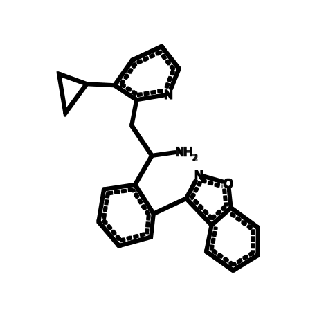 NC(Cc1ncccc1C1CC1)c1ccccc1-c1noc2ccccc12